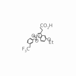 CCOc1ccc2c(c1)c(CCC(=O)O)cn2S(=O)(=O)c1cccc(CC(F)(F)F)c1